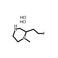 CN1CCNCC1CCF.Cl.Cl